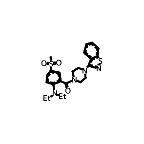 CCN(CC)c1ccc(S(C)(=O)=O)cc1C(=O)N1CCN(c2nsc3ccccc23)CC1